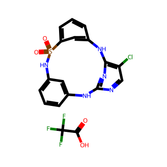 O=C(O)C(F)(F)F.O=S1(=O)Nc2cccc(c2)Nc2ncc(Cl)c(n2)Nc2cccc1c2